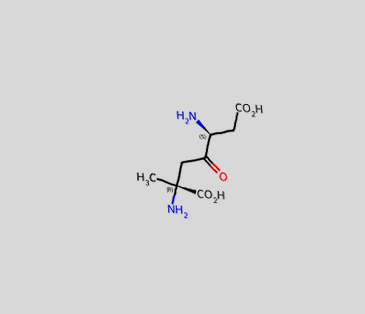 C[C@@](N)(CC(=O)[C@@H](N)CC(=O)O)C(=O)O